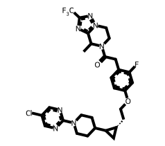 CC1c2nc(C(F)(F)F)nn2CCN1C(=O)Cc1ccc(OCC[C@@H]2CC2C2CCN(c3ncc(Cl)cn3)CC2)cc1F